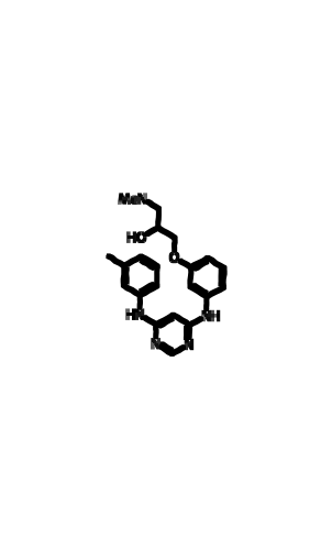 CNCC(O)COc1cccc(Nc2cc(Nc3cccc(C)c3)ncn2)c1